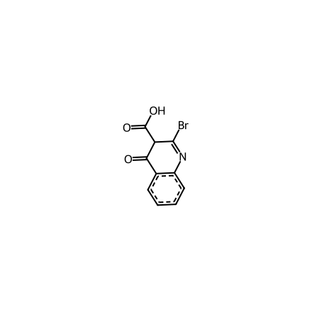 O=C(O)C1C(=O)c2ccccc2N=C1Br